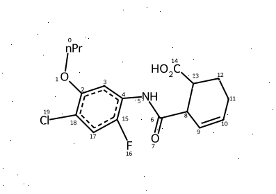 CCCOc1cc(NC(=O)C2C=CCCC2C(=O)O)c(F)cc1Cl